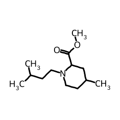 COC(=O)C1CC(C)CCN1CCC(C)C